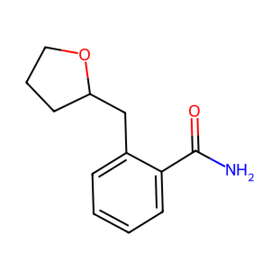 NC(=O)c1ccccc1CC1CCCO1